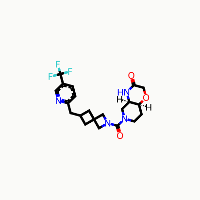 O=C1CO[C@H]2CCN(C(=O)N3CC4(CC(Cc5ccc(C(F)(F)F)cn5)C4)C3)C[C@H]2N1